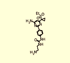 CCS(=O)(=O)C1(c2cc(N)nc(-c3ccc(NC(=O)NCCN)cc3)n2)CC1